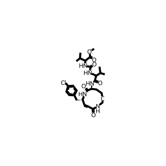 COC(=O)C(NC(=O)NC(C(=O)N[C@H]1CCCCNC(=O)C=C[C@H](Cc2ccc(Cl)cc2)NC1=O)C(C)C)C(C)C